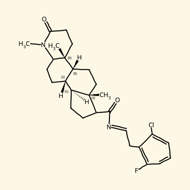 CN1C(=O)CC[C@@]2(C)C1CC[C@@H]1[C@H]2CC[C@]2(C)C(C(=O)N=CCc3c(F)cccc3Cl)CC[C@@H]12